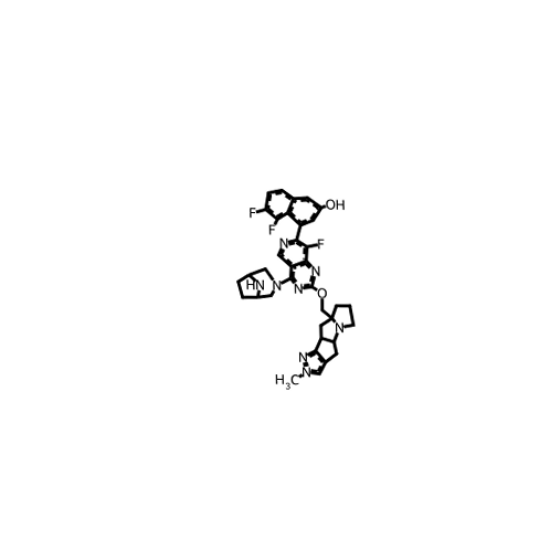 Cn1cc2c(n1)C1CC3(COc4nc(N5CC6CCC(C5)N6)c5cnc(-c6cc(O)cc7ccc(F)c(F)c67)c(F)c5n4)CCCN3C1C2